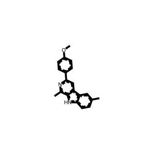 COc1ccc(-c2cc3c([nH]c4ccc(C)cc43)c(C)n2)cc1